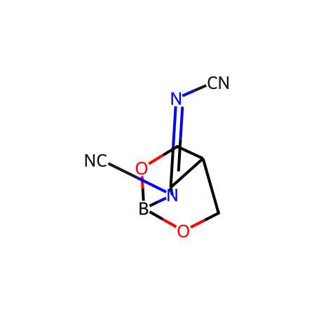 N#C/N=C1\C2COB(OC2)N1C#N